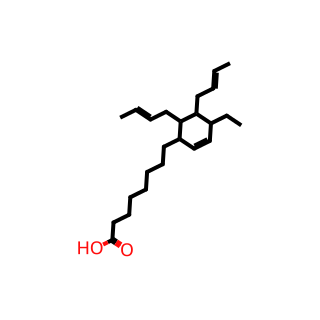 CC=CCC1C(CC)C=CC(CCCCCCCC(=O)O)C1CC=CC